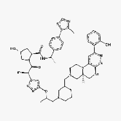 Cc1ncsc1-c1ccc([C@H](C)NC(=O)[C@@H]2C[C@@H](O)CN2C(=O)[C@@H](c2cc(OC(C)CN3CCCC(CN4CCN5c6cc(-c7ccccc7O)nnc6NC[C@H]5C4)C3)no2)C(C)C)cc1